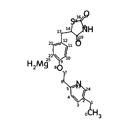 CCc1ccc(CCOc2ccc(CC3SC(=O)NC3=O)cc2)nc1.[MgH2]